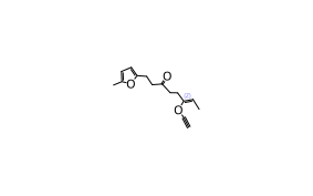 C#CO/C(=C\C)CCC(=O)CCc1ccc(C)o1